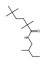 CCC(C)CNC(=O)C(C)(C)CCC(C)(C)C